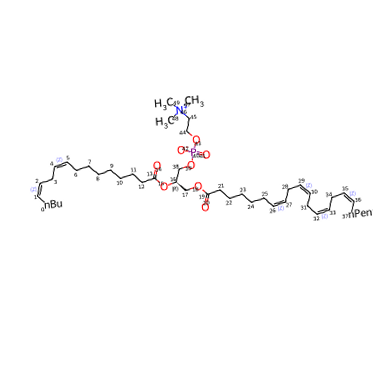 CCCC/C=C\C/C=C\CCCCCCCC(=O)O[C@H](COC(=O)CCCCC/C=C\C/C=C\C/C=C\C/C=C\CCCCC)COP(=O)([O-])OCC[N+](C)(C)C